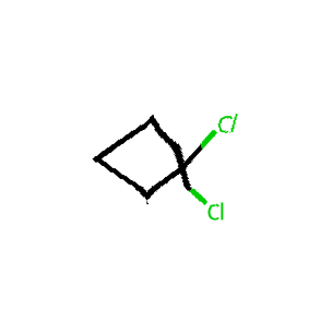 ClC1(Cl)[CH]CC1